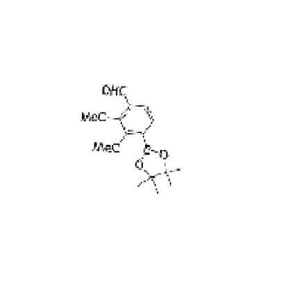 COc1c(C=O)ccc(B2OC(C)(C)C(C)(C)O2)c1OC